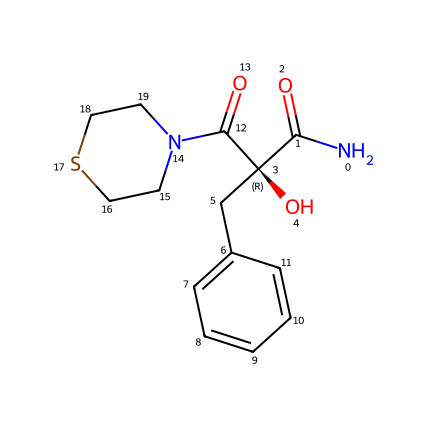 NC(=O)[C@](O)(Cc1ccccc1)C(=O)N1CCSCC1